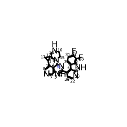 C=C(/N=C(\c1c(N)cncc1C1CC1)N1CCNCC1)c1ccnc2[nH]c3c(F)c(F)ccc3c12